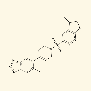 Cc1cc2ncnn2cc1C1=CCN(S(=O)(=O)c2cc3c(cc2C)OCC3C)CC1